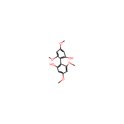 COc1cc(O)c(-c2c(O)cc(OC)cc2OC)c(OC)c1